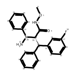 CONC(=O)[C@H](C(c1ccccc1)c1cccc(F)c1)N(N)c1ccccc1